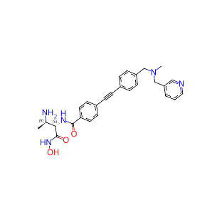 C[C@@H](N)[C@H](NC(=O)c1ccc(C#Cc2ccc(CN(C)Cc3cccnc3)cc2)cc1)C(=O)NO